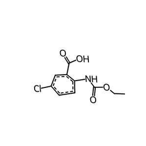 CCOC(=O)Nc1ccc(Cl)cc1C(=O)O